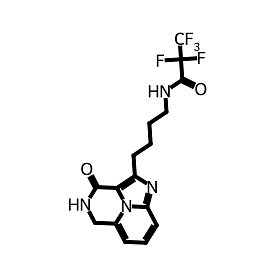 O=C1NCc2cccc3nc(CCCCNC(=O)C(F)(F)C(F)(F)F)c1n23